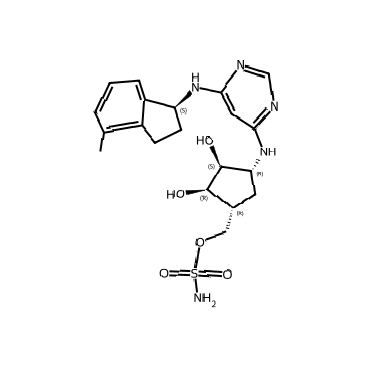 Cc1cccc2c1CC[C@@H]2Nc1cc(N[C@@H]2C[C@H](COS(N)(=O)=O)[C@@H](O)[C@H]2O)ncn1